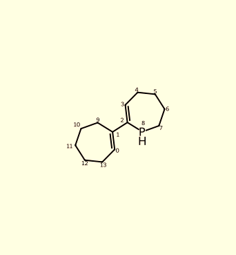 C1=C(C2=CCCCCP2)CCCCC1